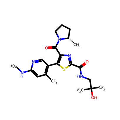 C[C@H]1CCCN1C(=O)c1nc(C(=O)NCC(O)(C(F)(F)F)C(F)(F)F)sc1-c1cnc(NC(C)(C)C)cc1C(F)(F)F